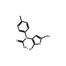 Cc1ccc(N(C(N)=O)c2cc(C(C)(C)C)sc2Br)cc1